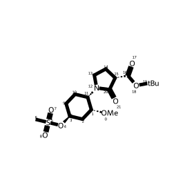 CO[C@@H]1C[C@@H](OS(C)(=O)=O)CC[C@@H]1N1CC[C@H](C(=O)OC(C)(C)C)C1=O